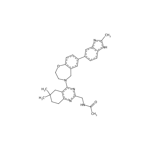 CC(=O)NCc1nc2c(c(N3CCOc4ccc(-c5ccc6[nH]c(C)nc6c5)cc4C3)n1)CC(C)(C)CC2